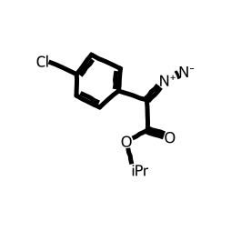 CC(C)OC(=O)C(=[N+]=[N-])c1ccc(Cl)cc1